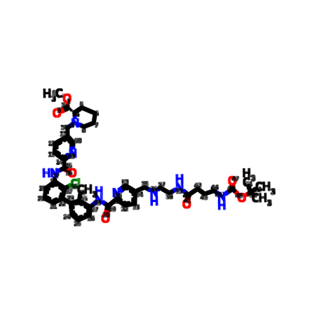 COC(=O)[C@@H]1CCCCN1Cc1ccc(C(=O)Nc2cccc(-c3cccc(NC(=O)c4ccc(CNCCNC(=O)CCCNC(=O)OC(C)(C)C)cn4)c3C)c2Cl)nc1